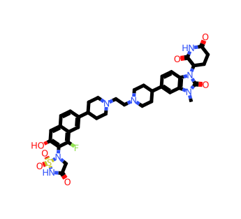 Cn1c(=O)n(C2CCC(=O)NC2=O)c2ccc(C3CCN(CCN4CCC(c5ccc6cc(O)c(N7CC(=O)NS7(=O)=O)c(F)c6c5)CC4)CC3)cc21